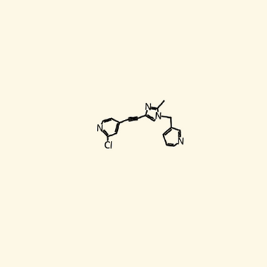 Cc1nc(C#Cc2ccnc(Cl)c2)cn1Cc1cccnc1